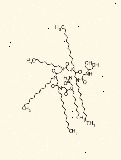 CCCCCCCCCCCCN(CC(=O)N(CCCCCCCCCCCC)CC(=O)N(CCCCCCCC)CC(=O)N(CCCCCCCCCCCC)CC(=O)N(CCCCCCCCCCCC)CC(=O)N(CCCCCCCC)CC(N)=O)C(=O)CNC(CO)CO